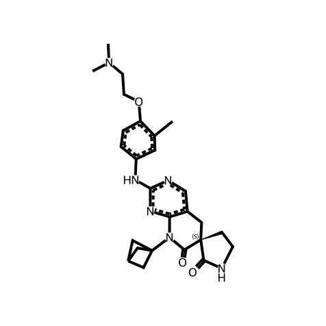 Cc1cc(Nc2ncc3c(n2)N(C24CC(C2)C4)C(=O)[C@]2(CCNC2=O)C3)ccc1OCCN(C)C